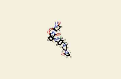 O=C1CCC(N2C(=O)c3cccc(NCc4ccc(CN5CCC(N6CCCC6=O)CC5)cc4F)c3C2=O)C(=O)N1